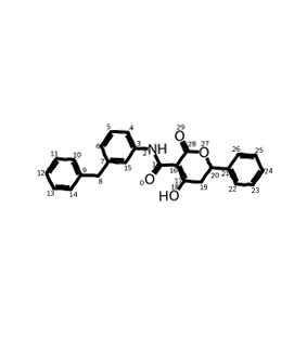 O=C(Nc1cccc(Cc2ccccc2)c1)C1=C(O)CC(c2ccccc2)OC1=O